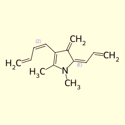 C=C/C=C\c1c(C)n(C)/c(=C/C=C)c1=C